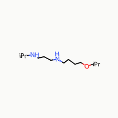 CC(C)NCCCNCCCCOC(C)C